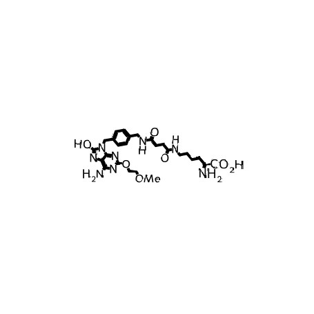 COCCOc1nc(N)c2nc(O)n(Cc3ccc(CNC(=O)CCC(=O)NCCCC[C@H](N)C(=O)O)cc3)c2n1